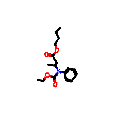 CCCCOC(=O)CC(C)N(C(=O)OCC)c1ccccc1